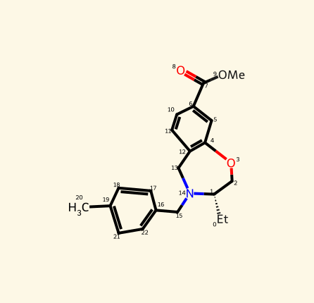 CC[C@H]1COc2cc(C(=O)OC)ccc2CN1Cc1ccc(C)cc1